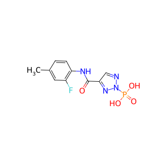 Cc1ccc(NC(=O)c2cnn(P(=O)(O)O)n2)c(F)c1